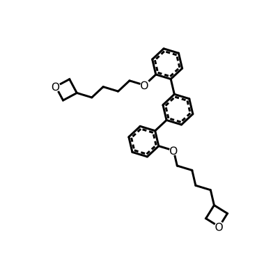 c1cc(-c2ccccc2OCCCCC2COC2)cc(-c2ccccc2OCCCCC2COC2)c1